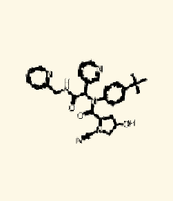 CC(C)(C)c1ccc(N(C(=O)C2CC(O)CN2C#N)C(C(=O)NCc2ccccn2)c2cccnc2)cc1